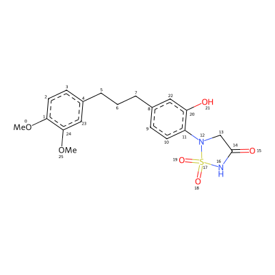 COc1ccc(CCCc2ccc(N3CC(=O)NS3(=O)=O)c(O)c2)cc1OC